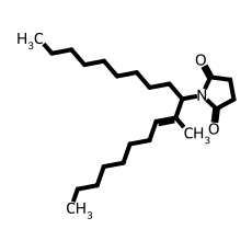 CCCCCCC/C=C(\C)C(CCCCCCCCC)N1C(=O)CCC1=O